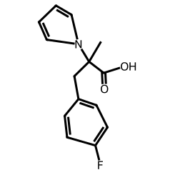 CC(Cc1ccc(F)cc1)(C(=O)O)n1cccc1